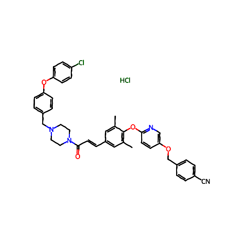 Cc1cc(C=CC(=O)N2CCN(Cc3ccc(Oc4ccc(Cl)cc4)cc3)CC2)cc(C)c1Oc1ccc(OCc2ccc(C#N)cc2)cn1.Cl